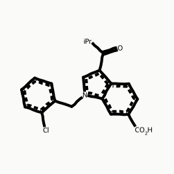 CC(C)C(=O)c1cn(Cc2ccccc2Cl)c2cc(C(=O)O)ccc12